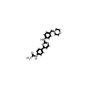 CC(=O)Nc1ccc(-c2ccnc(Nc3ccc(CN4CCOCC4)cc3)n2)cc1